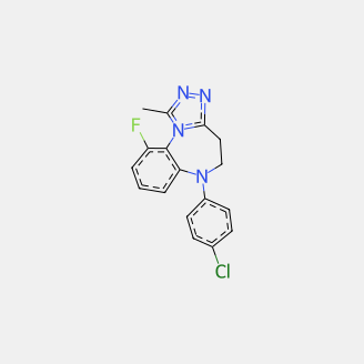 Cc1nnc2n1-c1c(F)cccc1N(c1ccc(Cl)cc1)CC2